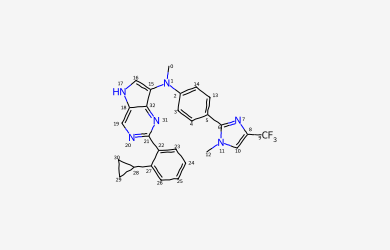 CN(c1ccc(-c2nc(C(F)(F)F)cn2C)cc1)c1c[nH]c2cnc(-c3ccccc3C3CC3)nc12